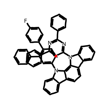 Fc1ccc(-c2ccc(-n3c4ccccc4c4ccc5c6ccccc6n(-c6nc(-c7ccccc7)nc(-c7ccccc7)n6)c5c43)cc2-c2ccccc2)cc1